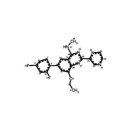 CCOc1cc(-c2ccc(F)cc2F)cc2c(NC)nc(-c3cnccn3)nc12